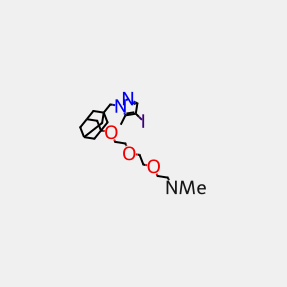 CNCCOCCOCCOC12CC3CC(CC(Cn4ncc(I)c4C)(C3)C1)C2